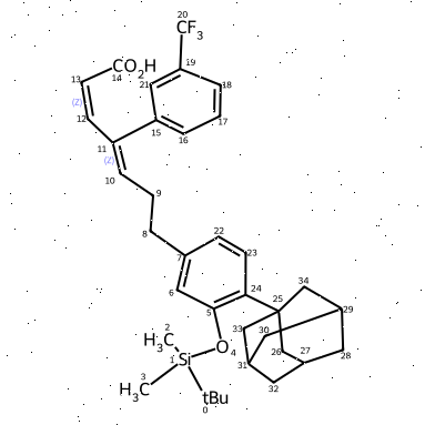 CC(C)(C)[Si](C)(C)Oc1cc(CC/C=C(/C=C\C(=O)O)c2cccc(C(F)(F)F)c2)ccc1C12CC3CC(CC(C3)C1)C2